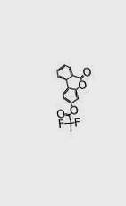 CC(F)(F)C(=O)Oc1ccc2c(c1)oc(=O)c1ccccc12